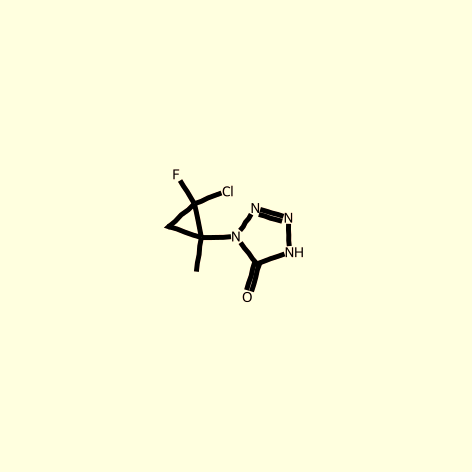 CC1(n2nn[nH]c2=O)CC1(F)Cl